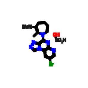 CNC1=C(C)N(c2nc3ncc(Br)cc3n3cnnc23)C=CC=C1.O=S(=O)(O)O